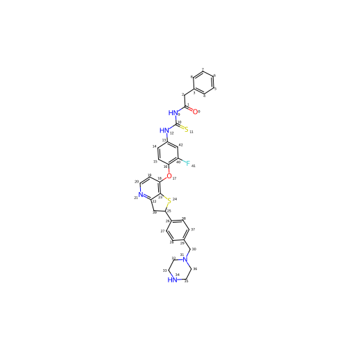 O=C(Cc1ccccc1)NC(=S)Nc1ccc(Oc2ccnc3c2SC(c2ccc(CN4CCNCC4)cc2)C3)c(F)c1